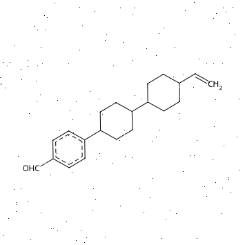 C=CC1CCC(C2CCC(c3ccc(C=O)cc3)CC2)CC1